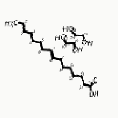 CCCCCCCCCCCCCCCC(=O)O.OCCO.OCCO